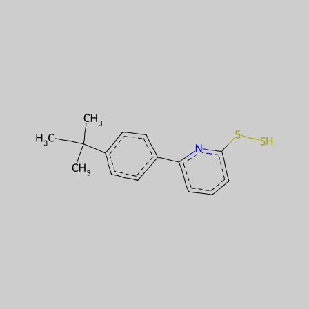 CC(C)(C)c1ccc(-c2cccc(SS)n2)cc1